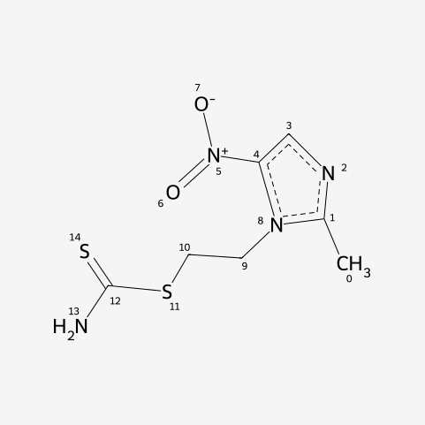 Cc1ncc([N+](=O)[O-])n1CCSC(N)=S